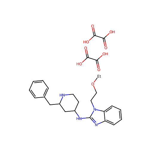 CCOCCn1c(NC2CCNC(Cc3ccccc3)C2)nc2ccccc21.O=C(O)C(=O)O.O=C(O)C(=O)O